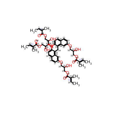 C/C=C(/C)C(=O)OCC(O)COc1ccc2ccc(OCC(O)COC(=O)/C(C)=C/C)cc2c1Cc1c(OCC(O)COC(=O)/C(C)=C/C)ccc2ccc(OCC(O)COC(=O)/C(C)=C/C)cc12